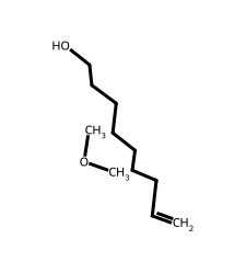 C=CCCCCCCCO.COC